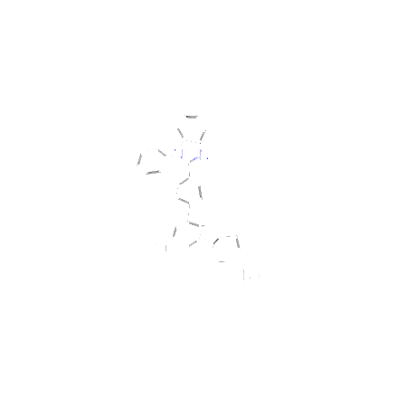 CC(C)(C)c1cc(-c2ccc(-c3nc4ccccc4n3-c3ccccc3)cc2)c2sc3c(c2c1)CC(C(C)(C)C)C=C3